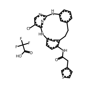 O=C(Cc1ccsc1)Nc1ccc2cc1CCc1cccc(c1)Nc1ncc(Cl)c(n1)N2.O=C(O)C(F)(F)F